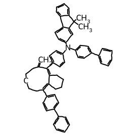 C=C1CCCCC/C(c2ccc(-c3ccccc3)cc2)=C2/CCCC/C2=C/1c1ccc(N(c2ccc(-c3ccccc3)cc2)c2ccc3c(c2)C(C)(C)c2ccccc2-3)cc1